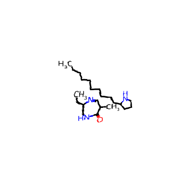 CCC1CNC(=O)C(C)C=N1.CCCCCCCCCCC1CCCN1